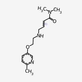 Cc1ccc(OCCNC/C=C/C(=O)N(C)C)cn1